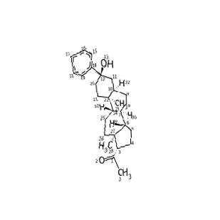 CC(=O)[C@H]1CC[C@H]2[C@@H]3CC[C@@H]4C[C@@](O)(c5ccccc5)CC[C@]4(C)[C@H]3CC[C@]12C